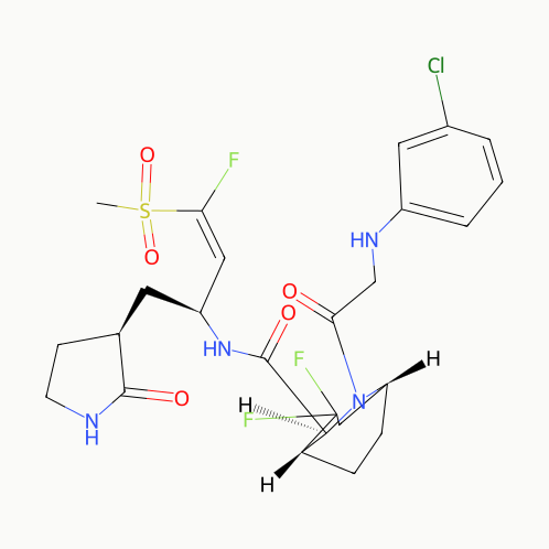 CS(=O)(=O)/C(F)=C\[C@H](C[C@@H]1CCNC1=O)NC(=O)[C@@H]1[C@H]2CC[C@H](CC2(F)F)N1C(=O)CNc1cccc(Cl)c1